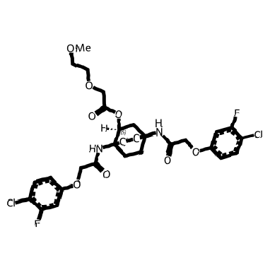 COCCOCC(=O)O[C@H]1CC2(NC(=O)COc3ccc(Cl)c(F)c3)CCC1(NC(=O)COc1ccc(Cl)c(F)c1)CC2